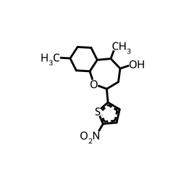 CC1CCC2C(C1)OC(c1ccc([N+](=O)[O-])s1)CC(O)C2C